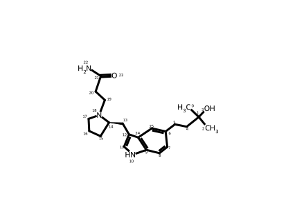 CC(C)(O)CCc1ccc2[nH]cc(C[C@H]3CCCN3CCC(N)=O)c2c1